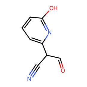 N#CC(C=O)c1cccc(O)n1